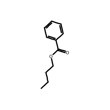 CC[CH]COC(=O)c1ccccc1